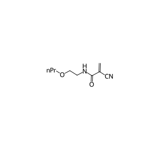 C=C(C#N)C(=O)NCCOCCC